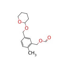 Cc1ccc(COC2CCCCO2)cc1COC=O